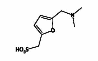 CN(C)Cc1ccc(CS(=O)(=O)O)o1